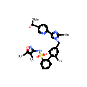 CCCCc1nc(-c2ccc(C(=O)OC)cn2)cn1Cc1ccc(-c2ccccc2S(=O)(=O)Nc2noc(C)c2C)c(CCC)c1